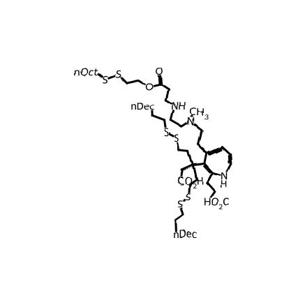 CCCCCCCCCCCCSSCCC(CCSSCCCCCCCCCCCC)(CC(=O)O)C1=C(CCC(=O)O)NC=CC=C1CCN(C)CCNCCC(=O)OCCSSCCCCCCCC